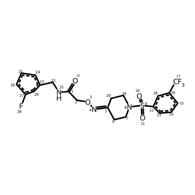 O=C(CON=C1CCN(S(=O)(=O)c2cccc(C(F)(F)F)c2)CC1)NCc1cccc(F)c1